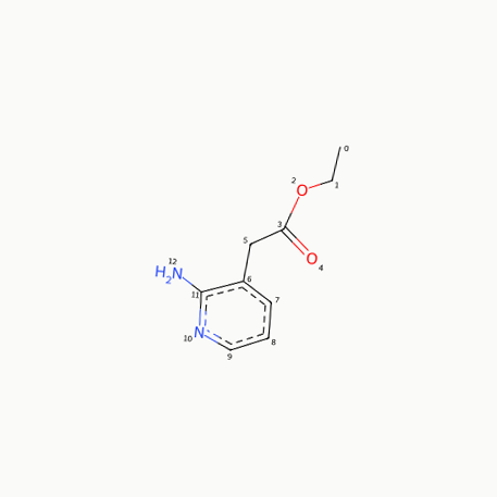 CCOC(=O)Cc1cccnc1N